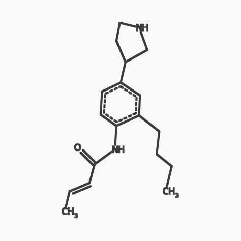 CC=CC(=O)Nc1ccc(C2CCNC2)cc1CCCC